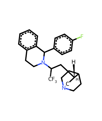 Fc1ccc(C2c3ccccc3CCN2C(C[C@H]2CN3CCC2CC3)C(F)(F)F)cc1